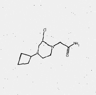 NC(=O)CN1CCN(C2CCC2)CC1Cl